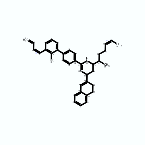 C=C/C=C\c1cccc(-c2ccc(C3=NC(C4=Cc5ccccc5CC4)CC(C(C)CC/C=C\C)N3)cc2)c1CC